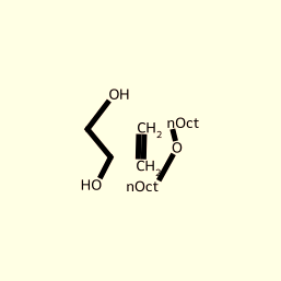 C=C.CCCCCCCCOCCCCCCCC.OCCO